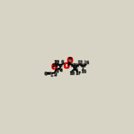 C#CCc1cc(COC(=O)C2C(C=C(C)C)C2(C)C)co1